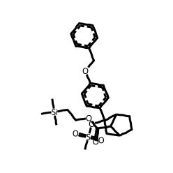 C[Si](C)(C)CCOC(=O)C1C2CCC1C(OS(C)(=O)=O)(c1ccc(OCc3ccccc3)cc1)C2